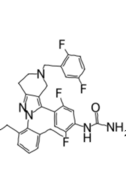 CCc1cccc(CC)c1-n1nc2c(c1-c1cc(F)c(NC(N)=O)cc1F)CN(Cc1cc(F)ccc1F)CC2